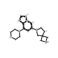 c1nc2c(N3CCOCC3)cc(N3CCC4(CNC4)C3)cn2n1